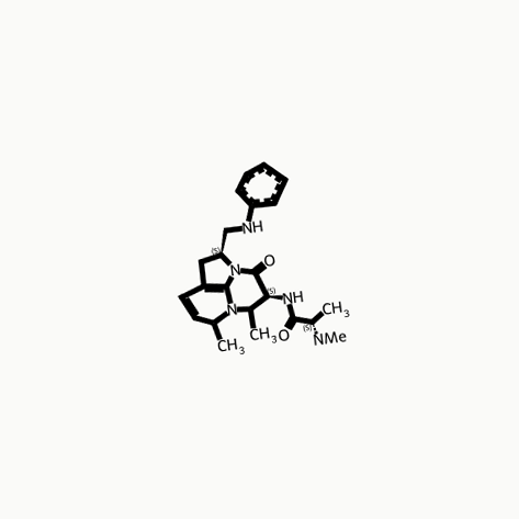 CN[C@@H](C)C(=O)N[C@@H]1C(=O)N2C3=C(C=CC(C)N3C1C)C[C@H]2CNc1ccccc1